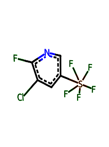 Fc1ncc(S(F)(F)(F)(F)F)cc1Cl